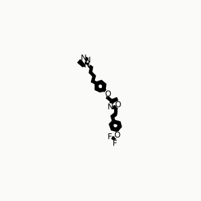 FC(F)Oc1ccc(/C=C/c2nc(COc3ccc(CCCCn4ccnn4)cc3)co2)cc1